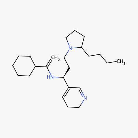 C=C(N[C@@H](CCN1CCCC1CCCC)C1=CCCN=C1)C1CCCCC1